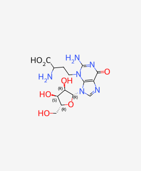 Nc1nc(=O)c2ncn([C@@H]3O[C@H](CO)[C@@H](O)[C@H]3O)c2n1CCC(N)C(=O)O